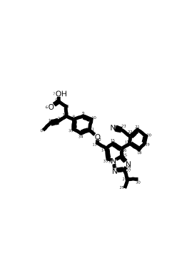 CC#CC(CC(=O)O)c1ccc(OCc2cc(-c3ccccc3C#N)c3nc(C(C)C)nn3c2)cc1